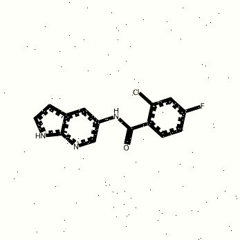 O=C(Nc1cnc2[nH]ccc2c1)c1c[c]c(F)cc1Cl